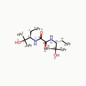 CCCC(O)(CCC)[C@@H](CC(C)C)NC(=O)C(=O)N[C@H](CC(C)C)C(O)(CCC)CCC